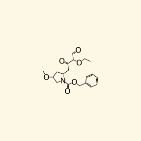 CCOC(C=O)C(=O)CC1CC(OC)CN1C(=O)OCc1ccccc1